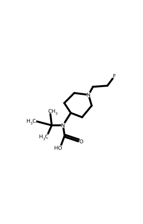 CC(C)(C)N(C(=O)O)C1CCN(CCF)CC1